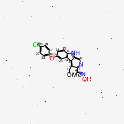 COCc1c(/C=N/O)ncc2[nH]c3ccc(Oc4ccc(Cl)cc4)cc3c12